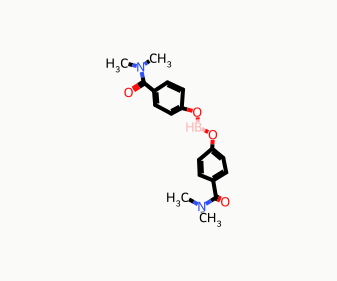 CN(C)C(=O)c1ccc(OBOc2ccc(C(=O)N(C)C)cc2)cc1